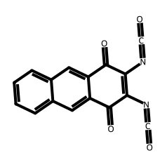 O=C=NC1=C(N=C=O)C(=O)c2cc3ccccc3cc2C1=O